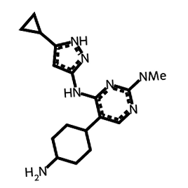 CNc1ncc(C2CCC(N)CC2)c(Nc2cc(C3CC3)[nH]n2)n1